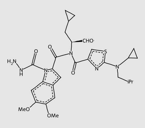 COc1cc2cc(C(=O)N(C(=O)c3csc(N(CC(C)C)C4CC4)n3)[C@H]([C]=O)CC3CC3)n(C(=O)NN)c2cc1OC